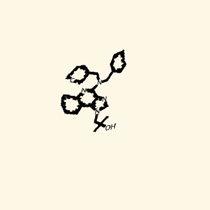 CC(C)(O)Cn1cnc2c(N(Cc3ccccc3)Cc3ccccc3)nc3ccccc3c21